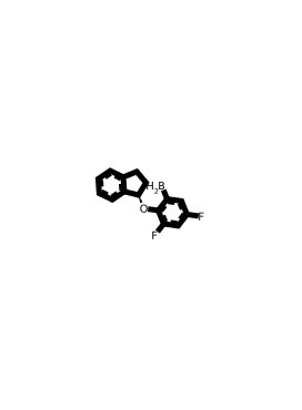 Bc1cc(F)cc(F)c1O[C@H]1CCc2ccccc21